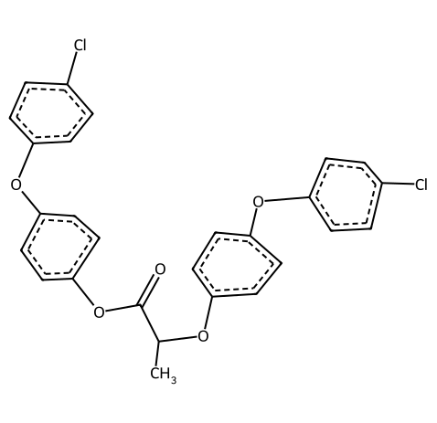 CC(Oc1ccc(Oc2ccc(Cl)cc2)cc1)C(=O)Oc1ccc(Oc2ccc(Cl)cc2)cc1